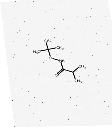 CC(C)C(=O)NOC(C)(C)C